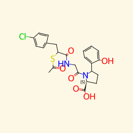 CC(=O)SC(Cc1ccc(Cl)cc1)C(=O)NCC(=O)N1C(c2ccccc2O)CC[C@H]1C(=O)O